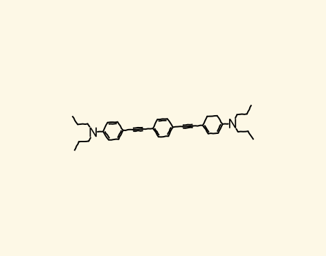 CCCN(CCC)C1=CC=C(C#Cc2ccc(C#Cc3ccc(N(CCC)CCC)cc3)cc2)CC1